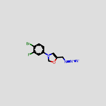 [N-]=[N+]=NCC1=CN(c2ccc(Br)c(F)c2)CO1